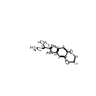 CC(C)c1nc2cc3c(cc2[nH]1)OCCO3